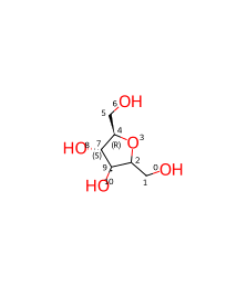 OCC1O[C@H](CO)[C@@H](O)[C]1O